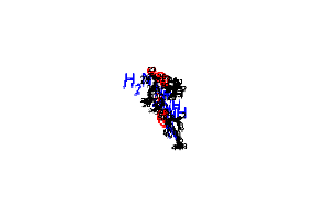 CC(C)[C@H](NC(=O)N[C@H](C(=O)N1C[C@H]2[C@@H]([C@H]1C(=O)NC(CC1CCC1)C(=O)C(N)=O)C2(C)C)C(C)(C)C)C(=O)N(C)CC1CC1